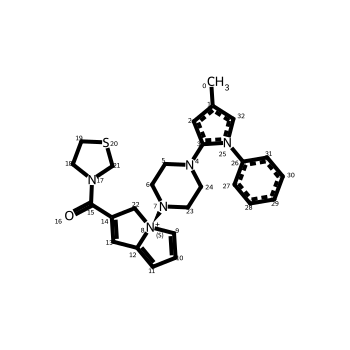 Cc1cc(N2CCN([N@@+]34C=CC=C3C=C(C(=O)N3CCSC3)C4)CC2)n(-c2ccccc2)c1